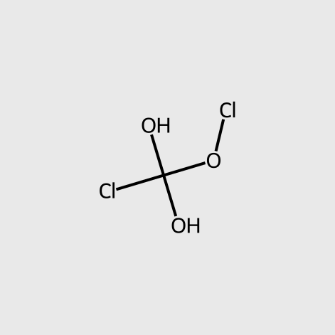 OC(O)(Cl)OCl